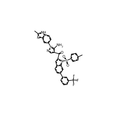 Cc1ccc(S(=O)(=O)n2c(C(=O)c3cnn(-c4ccc5[nH]c(C)nc5c4)c3N)cc3ccc(-c4cccc(C(F)(F)F)c4)cc32)cc1